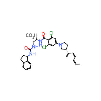 C=C(/C=C\C=C/C)[C@H]1CCN(c2cc(Cl)c(C(=O)NC(CNC(=O)N[C@@H]3CCc4ccccc43)C(=O)O)c(Cl)c2)C1